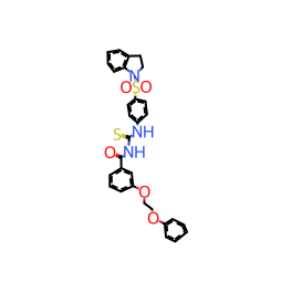 O=C(NC(=S)Nc1ccc(S(=O)(=O)N2CCc3ccccc32)cc1)c1cccc(OCCOc2ccccc2)c1